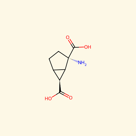 N[C@@]1(C(=O)O)CCC2C1[C@H]2C(=O)O